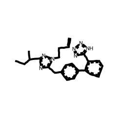 C=CCCn1nc(C(C)CC)nc1Cc1ccc(-c2ccccc2-c2nnn[nH]2)cc1